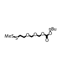 CCCCOC(=O)OCOCOCCSSC